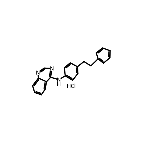 Cl.c1ccc(CCc2ccc(Nc3ncnc4ccccc34)cc2)cc1